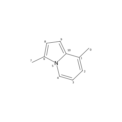 Cc1cccn2c(C)ccc12